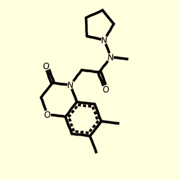 Cc1cc2c(cc1C)N(CC(=O)N(C)N1CCCC1)C(=O)CO2